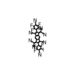 N#CC(C#N)=C1C(c2c(F)c(F)c(C#N)c(F)c2F)=C(C#N)c2cc3c(cc21)C(C#N)=C(c1c(F)c(F)c(C#N)c(I)c1F)C3=C(C#N)C#N